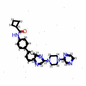 O=C(Nc1ccc(-c2ccc3ncc(N4CCN(c5cnccn5)CC4)nc3c2)cc1)C1CCC1